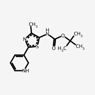 Cc1nc(C2=CC=CNC2)sc1NC(=O)OC(C)(C)C